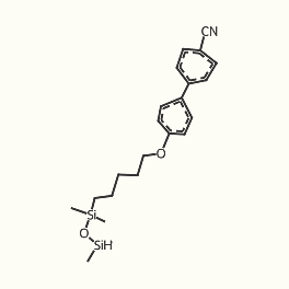 C[SiH](C)O[Si](C)(C)CCCCCOc1ccc(-c2ccc(C#N)cc2)cc1